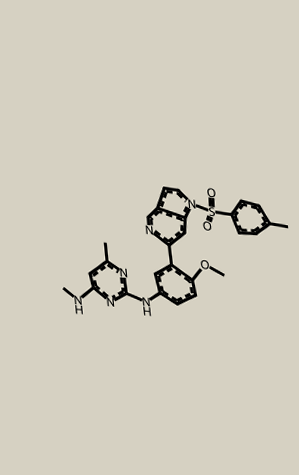 CNc1cc(C)nc(Nc2ccc(OC)c(-c3cc4c(ccn4S(=O)(=O)c4ccc(C)cc4)cn3)c2)n1